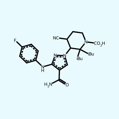 CCC(C)C1(C(C)CC)C(n2cc(C(N)=O)c(Nc3ccc(F)cc3)n2)C(C#N)CCN1C(=O)O